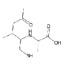 CC(=O)CC(C)C(CS)N[C@@H](C)C(=O)O